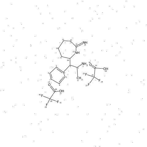 CC(N)C(c1ccccc1)C1CCCCC(=N)N1.O=C(O)C(F)(F)F.O=C(O)C(F)(F)F